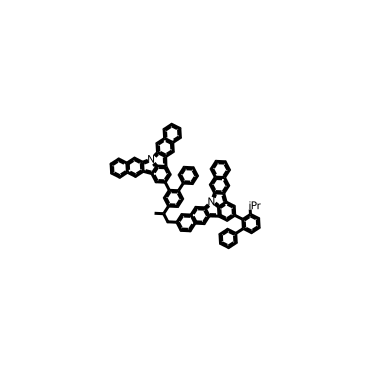 CC(C)c1cccc(-c2ccccc2)c1-c1cc2c3cc4ccccc4cc3n3c4cc5cc(CC(C)c6ccc(-c7ccccc7)c(-c7cc8c9cc%10ccccc%10cc9n9c%10cc%11ccccc%11cc%10c(c7)c89)c6)ccc5cc4c(c1)c23